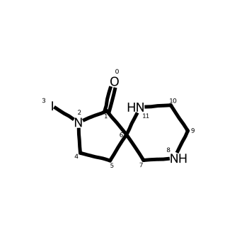 O=C1N(I)CCC12CNCCN2